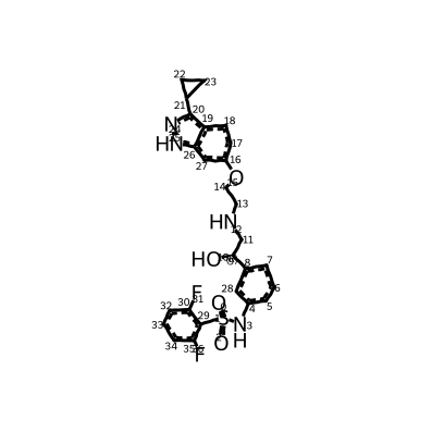 O=S(=O)(Nc1cccc([C@@H](O)CNCCOc2ccc3c(C4CC4)n[nH]c3c2)c1)c1c(F)cccc1F